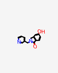 O=C1c2ccc(O)cc2CN1Cc1cccnc1